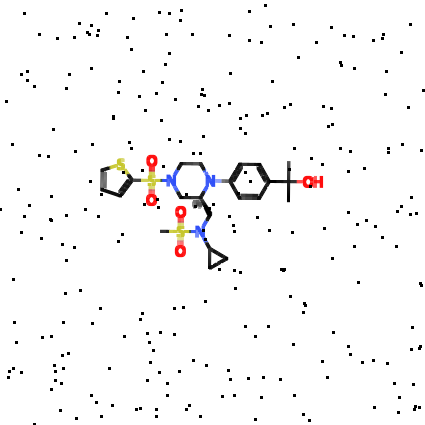 CC(C)(O)c1ccc(N2CCN(S(=O)(=O)c3cccs3)C[C@@H]2CN(C2CC2)S(C)(=O)=O)cc1